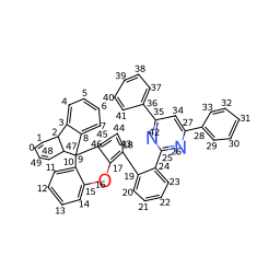 C1=CC2c3ccccc3C3(c4ccccc4Oc4c(-c5ccccc5-c5nc(-c6ccccc6)cc(-c6ccccc6)n5)cccc43)C2C=C1